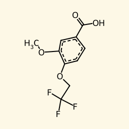 COc1cc(C(=O)O)ccc1OCC(F)(F)F